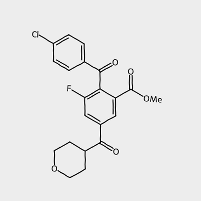 COC(=O)c1cc(C(=O)C2CCOCC2)cc(F)c1C(=O)c1ccc(Cl)cc1